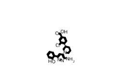 Nc1nnc(-c2ccccc2O)cc1N1CCC[C@H](c2ccc(C(=O)O)cc2Cl)C1